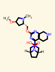 CO[C@@H]1C[C@@H](COc2nc3c(c(N4C[C@H]5CC[C@@H](C4)N5C(=O)O)n2)CCNC3)N(C)C1